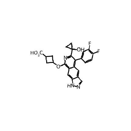 O=C(O)C1CC(Oc2nc(C3(O)CC3)c(-c3ccc(F)c(F)c3)c3cc4cn[nH]c4cc23)C1